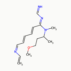 C=C\N=C/C=C/C=C/C(=N\C=N)N(C)C(C)CCOC